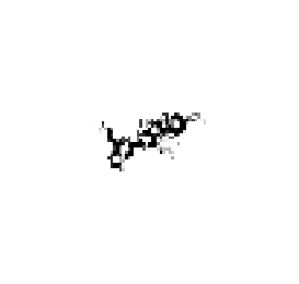 CC1(c2ccc(C(F)(F)F)cn2)C(=O)Nc2nc(-c3cn4ncnc4c(CCC(F)(F)F)n3)nc(N)c21